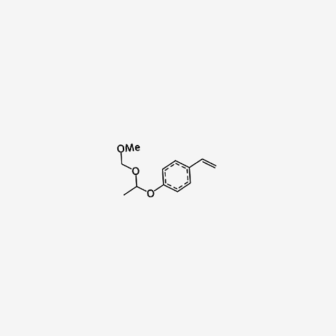 C=Cc1ccc(OC(C)OCOC)cc1